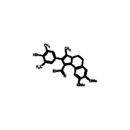 CCC(=O)c1c(-c2cc(C)c(O)c(C)c2)c(C)n2c1-c1cc(OC)c(OC)cc1CC2